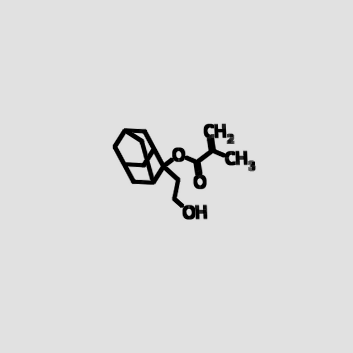 C=C(C)C(=O)OC1(CCO)C2CC3CC(C2)CC1C3